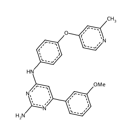 COc1cccc(-c2cc(Nc3ccc(Oc4ccnc(C)c4)cc3)nc(N)n2)c1